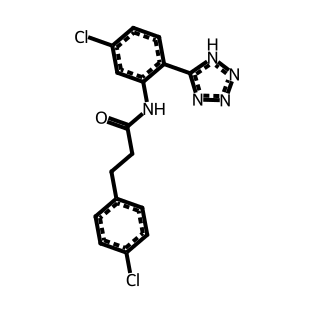 O=C(CCc1ccc(Cl)cc1)Nc1cc(Cl)ccc1-c1nnn[nH]1